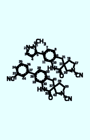 Cn1nccc1-c1ccc2c(c1)NC(=O)C1(CCN(C#N)C1)C2.N#Cc1cccc(-c2ccc3c(c2)NC(=O)C2(CCN(C#N)C2)C3)c1